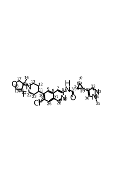 C[C@H]1[C@@H](C(=O)Nc2cc3cc(C4CCN([C@@]5(C)COC[C@H]5F)CC4)c(Cl)cc3cn2)[C@@H]1c1cnn(C)c1